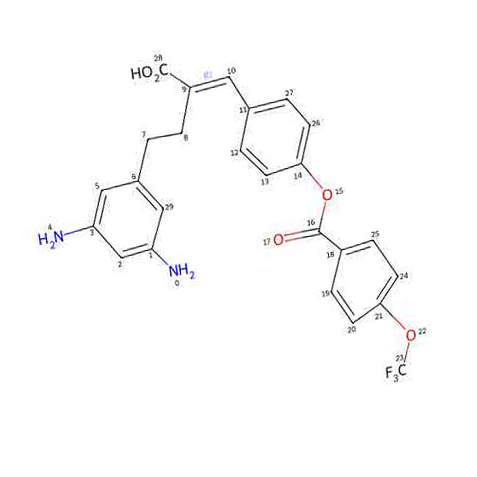 Nc1cc(N)cc(CC/C(=C\c2ccc(OC(=O)c3ccc(OC(F)(F)F)cc3)cc2)C(=O)O)c1